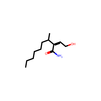 CCCCCCC(C)C(=CCO)C(N)=O